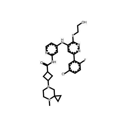 CN1CCN(C2CC(C(=O)Nc3cc(Nc4cc(-c5cc(Cl)ccc5F)nnc4SCCO)ccn3)C2)CC12CC2